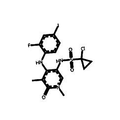 Cc1c(Nc2ccc(I)cc2F)c(NS(=O)(=O)C2(Cl)CC2)cn(C)c1=O